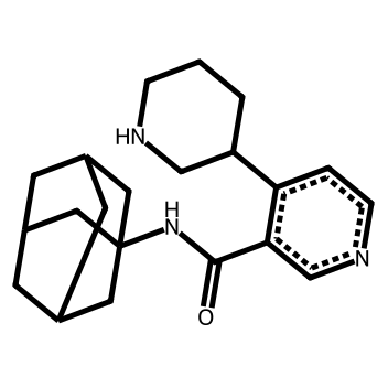 O=C(NC12CC3CC(CC(C3)C1)C2)c1cnccc1C1CCCNC1